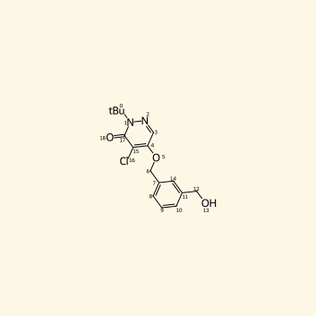 CC(C)(C)n1ncc(OCc2cccc(CO)c2)c(Cl)c1=O